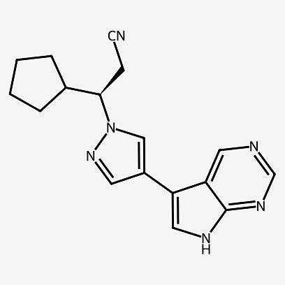 N#CC[C@H](C1CCCC1)n1cc(-c2c[nH]c3ncncc23)cn1